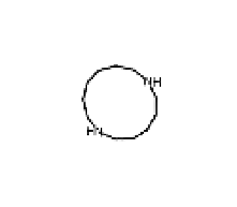 C1CCCNCCCCCNCC1